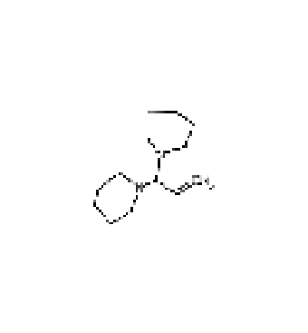 C=CC(N1CCCCC1)N1CCCCC1